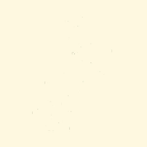 COC(=O)C(NC(=O)OC(C)(C)C)c1ccc(B2OC(C)(C)C(C)(C)O2)c(C)c1